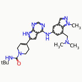 CN(C)Cc1cc(Nc2ncnc3[nH]c(C4=CCN(C(=O)NC(C)(C)C)CC4)cc23)cc2cnn(C)c12